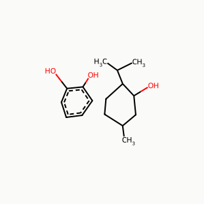 CC1CCC(C(C)C)C(O)C1.Oc1ccccc1O